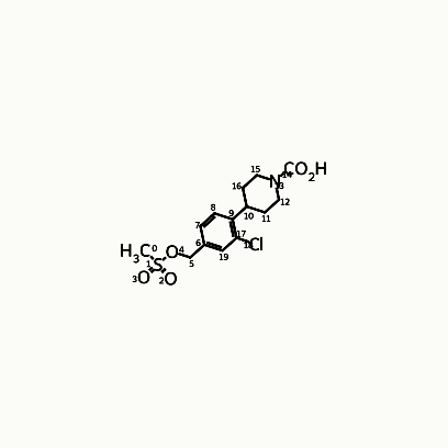 CS(=O)(=O)OCc1ccc(C2CCN(C(=O)O)CC2)c(Cl)c1